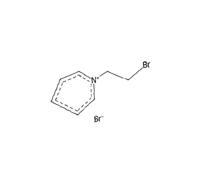 BrCC[n+]1ccccc1.[Br-]